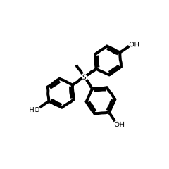 CS(c1ccc(O)cc1)(c1ccc(O)cc1)c1ccc(O)cc1